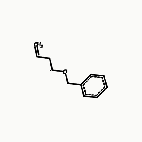 C=CC[CH]OCc1ccccc1